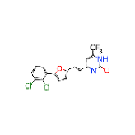 O=c1nc(C=Cc2ccc(-c3cccc(Cl)c3Cl)o2)cc(C(F)(F)F)[nH]1